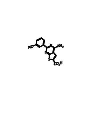 N#Cc1cccc(-c2nc(N)c3cc(C(=O)O)sc3n2)c1